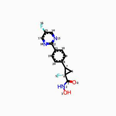 O=C(NO)[C@]1(F)CC1c1ccc(-c2ncc(F)cn2)cc1